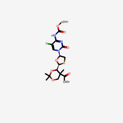 CCCCCCCCCCOC(=O)Nc1nc(=O)n([C@H]2CS[C@@H](C3OC(C)(C)OCC3(C)C(=O)OC)O2)cc1F